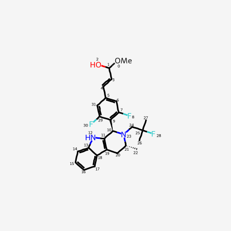 COC(O)/C=C/c1cc(F)c([C@@H]2c3[nH]c4ccccc4c3C[C@@H](C)N2CC(C)(C)F)c(F)c1